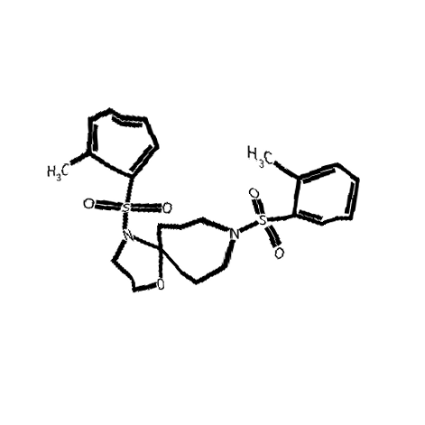 Cc1ccccc1S(=O)(=O)N1CCC2(CC1)OCCN2S(=O)(=O)c1ccccc1C